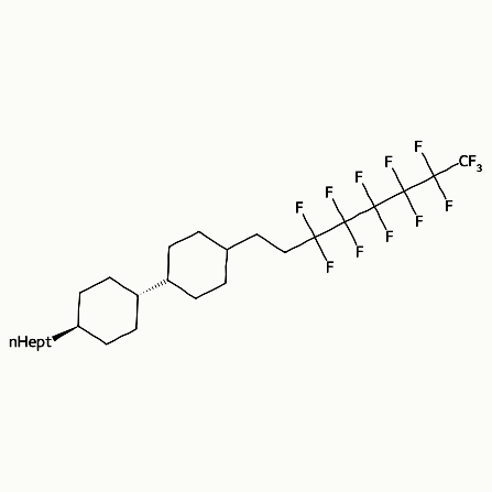 CCCCCCC[C@H]1CC[C@H](C2CCC(CCC(F)(F)C(F)(F)C(F)(F)C(F)(F)C(F)(F)C(F)(F)F)CC2)CC1